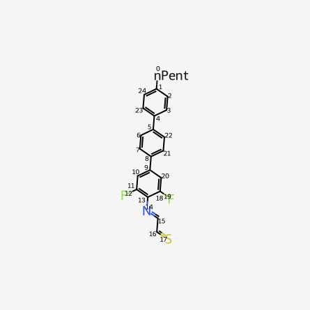 CCCCCc1ccc(-c2ccc(-c3cc(F)c(N=CC=S)c(F)c3)cc2)cc1